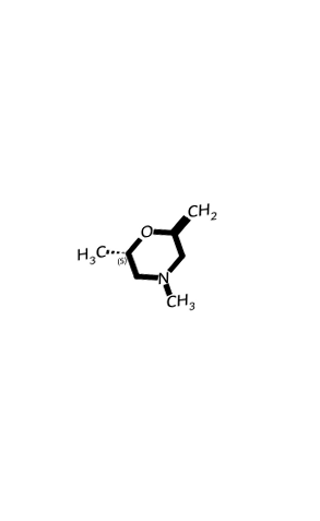 C=C1CN(C)C[C@H](C)O1